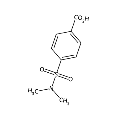 CN(C)S(=O)(=O)c1ccc(C(=O)O)cc1